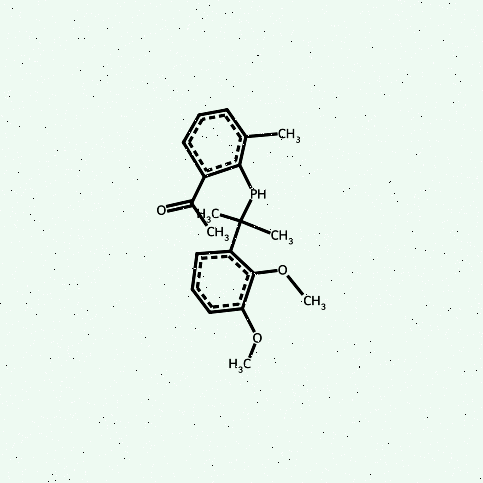 COc1cccc(C(C)(C)Pc2c(C)cccc2C(C)=O)c1OC